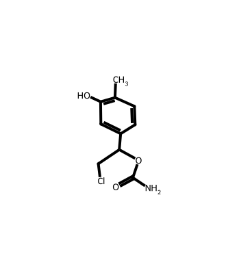 Cc1ccc(C(CCl)OC(N)=O)cc1O